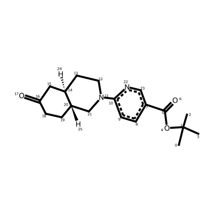 CC(C)(C)OC(=O)c1ccc(N2CC[C@@H]3CC(=O)CC[C@H]3C2)nc1